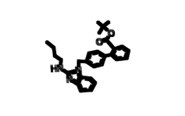 CCCCNc1nc2ccccc2n1Cc1ccc(-c2ccccc2C(=O)OC(C)(C)C)cc1